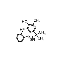 Cc1cc(C(C)(C)C)cc(Pc2ccccc2CS)c1O